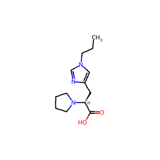 CCCn1cnc(C[C@@H](C(=O)O)N2CCCC2)c1